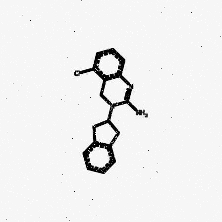 NC1=Nc2cccc(Cl)c2CN1C1Cc2ccccc2C1